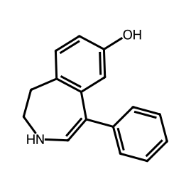 Oc1ccc2c(c1)C(c1ccccc1)=CNCC2